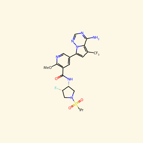 COc1ncc(-c2cc(C(F)(F)F)c3c(N)ncnn23)cc1C(=O)N[C@@H]1CN(S(=O)(=O)C(C)C)C[C@@H]1F